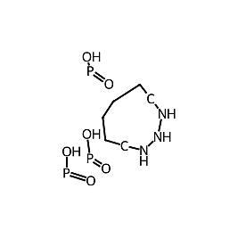 C1CCCNNNCC1.O=PO.O=PO.O=PO